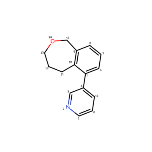 c1cncc(-c2cccc3c2CCCOC3)c1